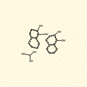 OB(O)O.Oc1ccc2ccccc2c1O.Oc1ccc2ccccc2c1O